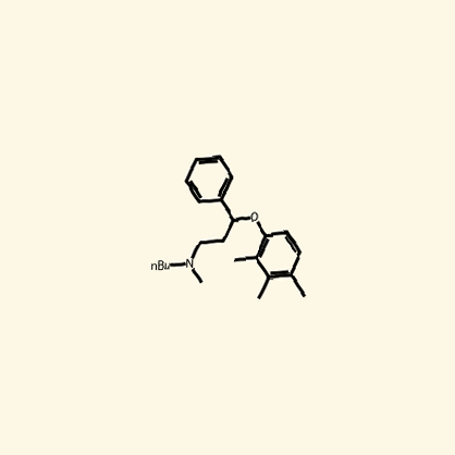 CCCCN(C)CCC(Oc1ccc(C)c(C)c1C)c1ccccc1